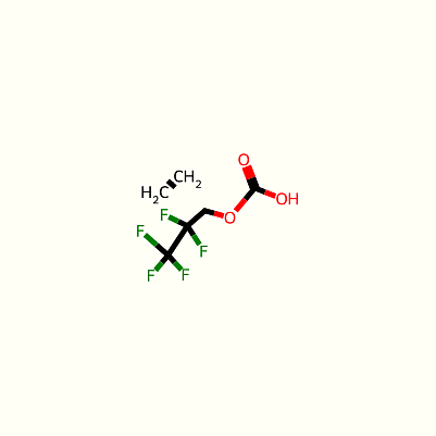 C=C.O=C(O)OCC(F)(F)C(F)(F)F